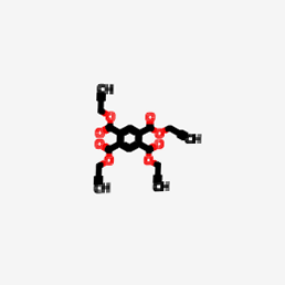 C#CCOC(=O)c1cc(C(=O)OCC#C)c(C(=O)OCC#C)cc1C(=O)OCC#C